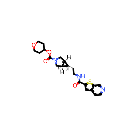 O=C(NCC[C@@H]1[C@H]2CN(C(=O)OC3CCOCC3)C[C@@H]12)c1cc2ccncc2s1